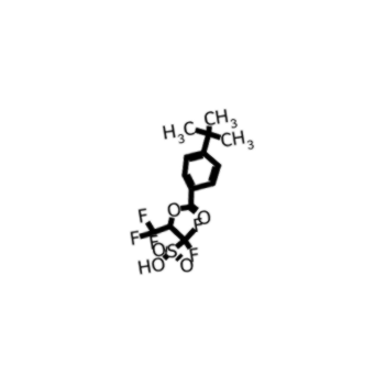 CC(C)(C)c1ccc(C(=O)OC(C(F)(F)F)C(F)(F)S(=O)(=O)O)cc1